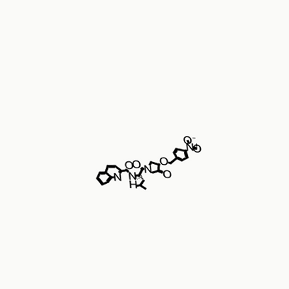 CC(C)C[C@H](NC(=O)c1ccc2ccccc2n1)C(=O)N1CC(=O)C(OCc2ccc([N+](=O)[O-])cc2)C1